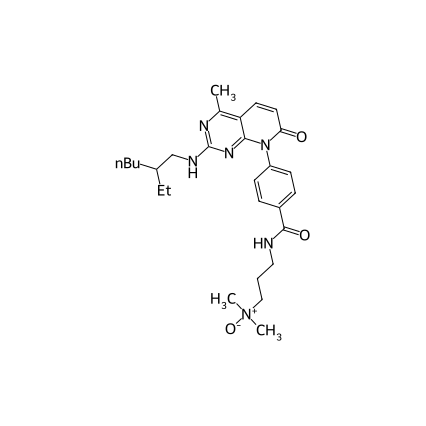 CCCCC(CC)CNc1nc(C)c2ccc(=O)n(-c3ccc(C(=O)NCCC[N+](C)(C)[O-])cc3)c2n1